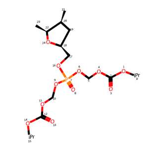 CC(C)OC(=O)OCOP(=O)(OCOC(=O)OC(C)C)OC[C@@H]1C[C@H](C)[C@H](C)O1